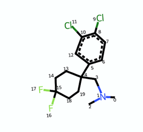 CN(C)CC1(c2ccc(Cl)c(Cl)c2)CCC(F)(F)CC1